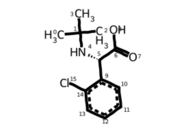 CC(C)(C)N[C@H](C(=O)O)c1ccccc1Cl